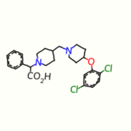 O=C(O)C(c1ccccc1)N1CCC(CN2CCC(Oc3cc(Cl)ccc3Cl)CC2)CC1